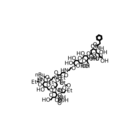 CCCCC(=O)NC1[C@H](OCCNC(=O)CCC(=O)NCCO[C@@H]2OC(CO)[C@@H](O[C@@H]3OC(CO)[C@H](O)[C@H](O[C@]4(C(=O)O)C[C@@H](O)[C@@H](NC(=O)Cc5ccccc5)C([C@H](O)[C@H](O)CO)O4)C3O)[C@H](O)C2O)OC(CO[C@@H]2OC(CO)[C@@H](OP(=O)(O)O)[C@H](OC(=O)C[C@@H](CC)OC(=O)CC)C2NC(=O)C[C@@H](CC)OC(=O)CC)[C@@H](O)[C@@H]1OC(=O)CC